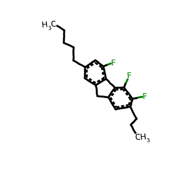 CCCCCc1cc(F)c2c(c1)Cc1cc(CCC)c(F)c(F)c1-2